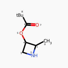 CC1NCC1OC(=O)C(C)(C)C